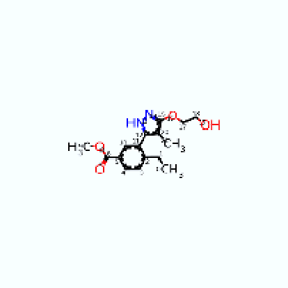 CCc1ccc(C(=O)OC)cc1-c1[nH]nc(OCCO)c1C